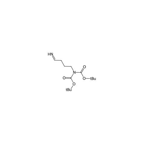 CC(C)(C)OC(=O)N(CCCC=N)C(=O)OC(C)(C)C